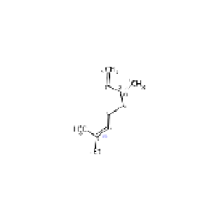 C=C[C@H](C)CC/C=C(\C)CC